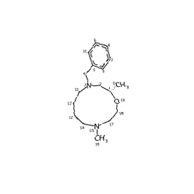 C[C@H]1CN(Cc2ccccc2)CCCCN(C)CCO1